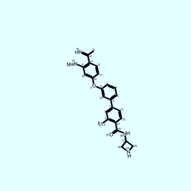 CCc1cc(-c2cccc(Oc3ccc(C(C)=N)c(NC)c3)c2)ccc1C(=O)NC1CNC1